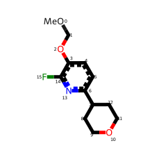 COCOc1ccc(C2CCOCC2)nc1F